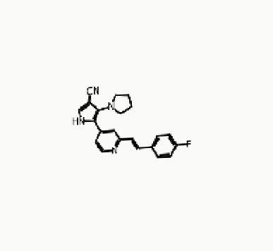 N#Cc1c[nH]c(-c2ccnc(C=Cc3ccc(F)cc3)c2)c1N1CCCC1